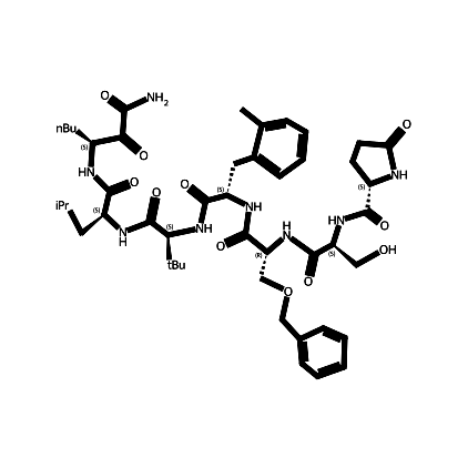 CCCC[C@H](NC(=O)[C@H](CC(C)C)NC(=O)[C@@H](NC(=O)[C@H](Cc1ccccc1C)NC(=O)[C@@H](COCc1ccccc1)NC(=O)[C@H](CO)NC(=O)[C@@H]1CCC(=O)N1)C(C)(C)C)C(=O)C(N)=O